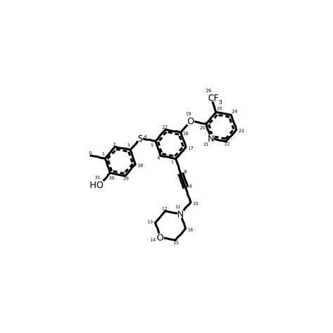 Cc1cc(Sc2cc(C#CCN3CCOCC3)cc(Oc3ncccc3C(F)(F)F)c2)ccc1O